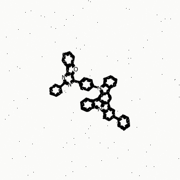 c1ccc(-c2ccc3c(c2)c2cc4c5ccccc5n(-c5ccc(-c6nc(-c7ccccc7)nc7c6oc6ccccc67)cc5)c4c4c5ccccc5n3c24)cc1